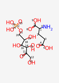 NC(CCC(=O)O)C(=O)O.O=C(CO)C(O)C(O)C(O)COP(=O)(O)O